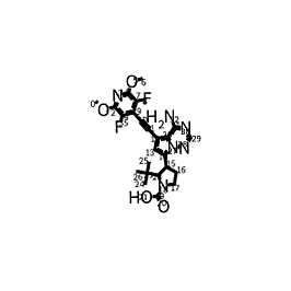 COc1nc(OC)c(F)c(C#Cc2cc(C3CCN(C(=O)O)C3C(C)(C)C)n3ncnc(N)c23)c1F